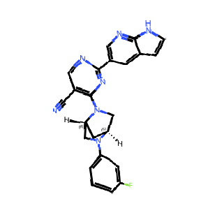 N#Cc1cnc(-c2cnc3[nH]ccc3c2)nc1N1C[C@@H]2C[C@@H]1CN2c1cccc(F)c1